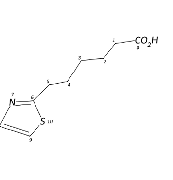 O=C(O)CCCCCc1nccs1